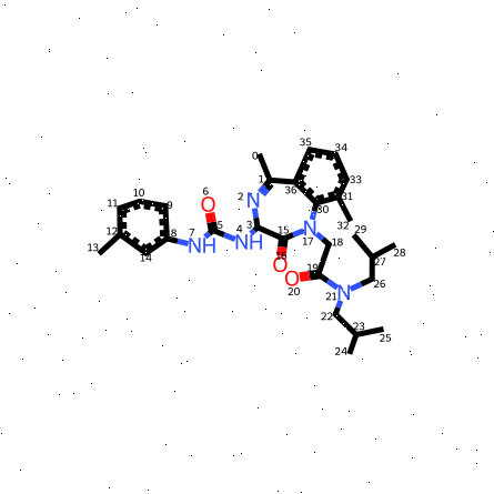 CC1=NC(NC(=O)Nc2cccc(C)c2)C(=O)N(CC(=O)N(CC(C)C)CC(C)C)c2c(C)cccc21